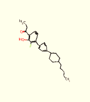 CCCCCC1CCC(c2ccc(-c3ccc(C(=O)CC)c(O)c3F)cc2)CC1